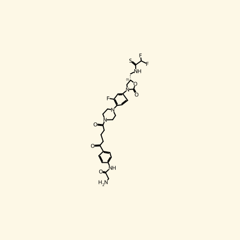 NCC(=O)Nc1ccc(C(=O)CCCC(=O)N2CCN(c3ccc(N4C[C@H](CNC(=S)C(F)F)OC4=O)cc3F)CC2)cc1